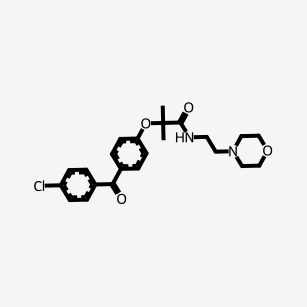 CC(C)(Oc1ccc(C(=O)c2ccc(Cl)cc2)cc1)C(=O)NCCN1CCOCC1